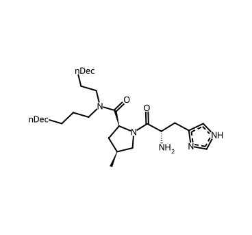 CCCCCCCCCCCCCN(CCCCCCCCCCCC)C(=O)[C@@H]1C[C@H](C)CN1C(=O)[C@@H](N)Cc1c[nH]cn1